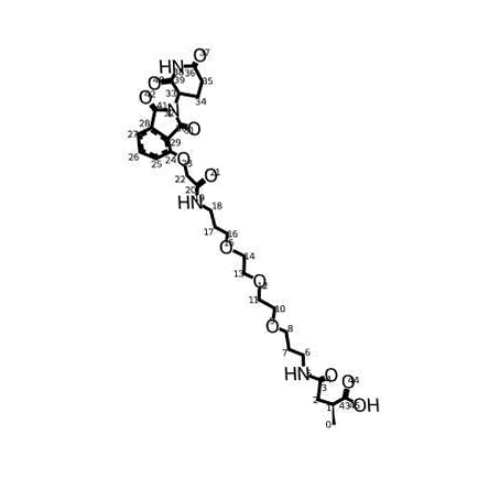 C[C@@H](CC(=O)NCCCOCCOCCOCCCNC(=O)COc1cccc2c1C(=O)N(C1CCC(=O)NC1=O)C2=O)C(=O)O